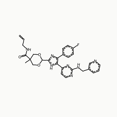 C=CCNC(=O)C1(C)COC(c2nc(-c3ccc(F)cc3)c(-c3ccnc(NCc4cccnc4)n3)[nH]2)OC1